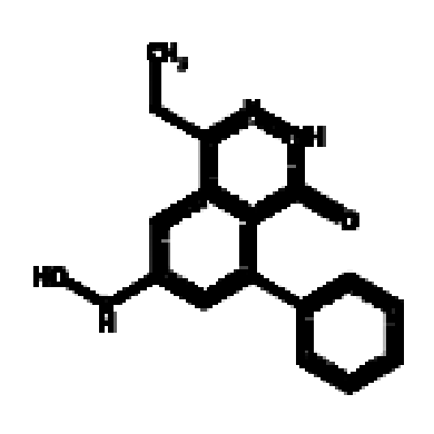 CCc1n[nH]c(=O)c2c(-c3ccccc3)cc(BO)cc12